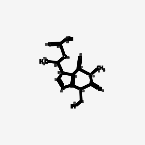 CC(C)Cn1c(=O)n(C)c(=O)c2c1ncn2C(C)OC(=O)C(C)(C)C